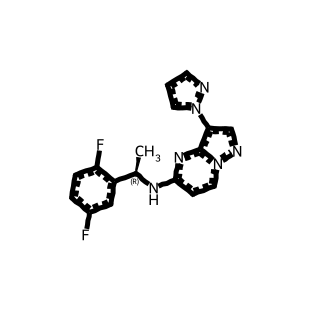 C[C@@H](Nc1ccn2ncc(-n3cccn3)c2n1)c1cc(F)ccc1F